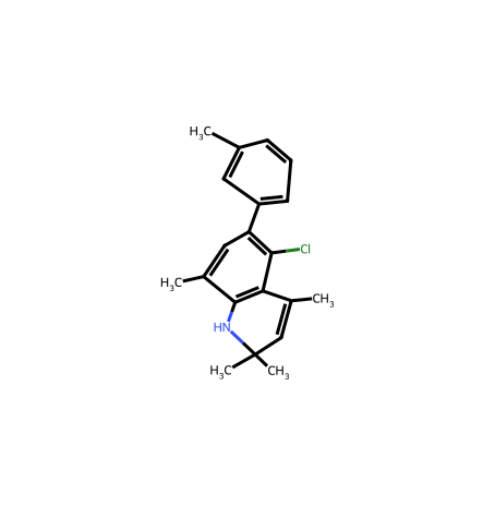 CC1=CC(C)(C)Nc2c(C)cc(-c3cccc(C)c3)c(Cl)c21